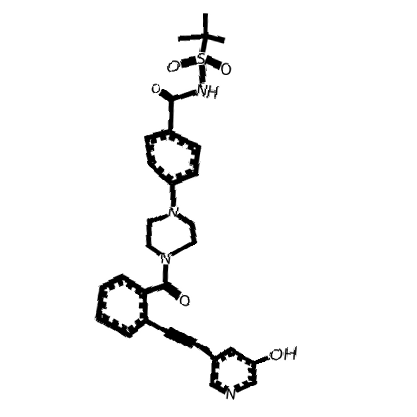 CC(C)(C)S(=O)(=O)NC(=O)c1ccc(N2CCN(C(=O)c3ccccc3C#Cc3cncc(O)c3)CC2)cc1